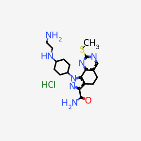 CSc1ncc2c(n1)-c1c(c(C(N)=O)nn1C1CCC(NCCN)CC1)CC2.Cl